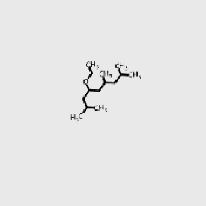 CCOC(CC(C)C)CC(C)CC(C)C